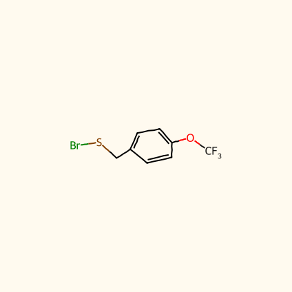 FC(F)(F)Oc1ccc(CSBr)cc1